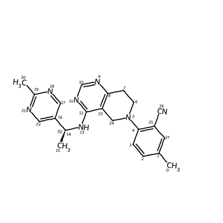 Cc1ccc(N2CCc3ncnc(N[C@@H](C)c4cnc(C)nc4)c3C2)c(C#N)c1